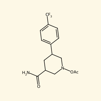 CC(=O)ON1CC(C(N)=O)CC(c2ccc(C(F)(F)F)cc2)C1